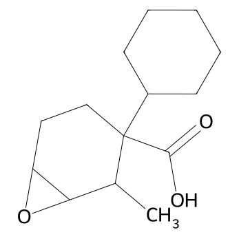 CC1C2OC2CCC1(C(=O)O)C1CCCCC1